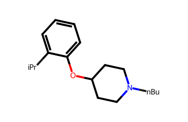 CCCCN1CCC(Oc2ccccc2C(C)C)CC1